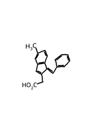 Cc1ccc2c(c1)C=C(CC(=O)O)/C2=C/c1ccccc1